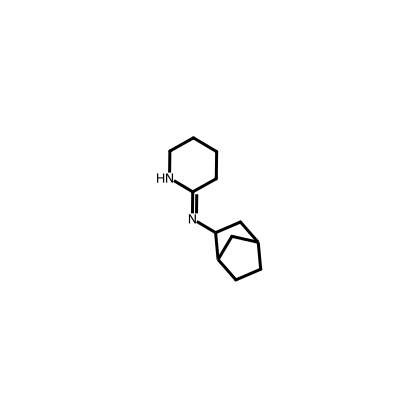 C1CCC(=NC2CC3CCC2C3)NC1